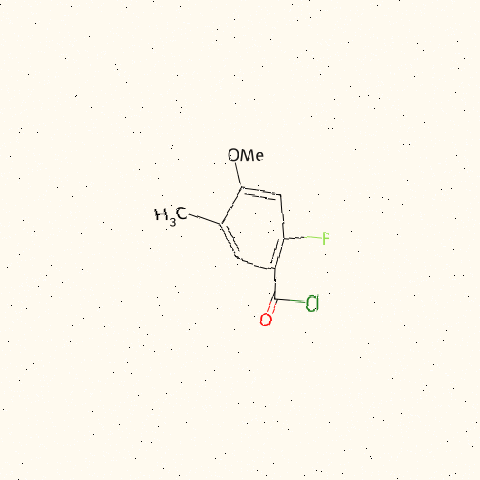 COc1cc(F)c(C(=O)Cl)cc1C